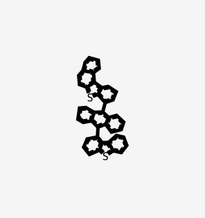 c1ccc2c(c1)ccc1sc3c(-c4c5ccccc5c(-c5cccc6sc7ccccc7c56)c5ccccc45)cccc3c12